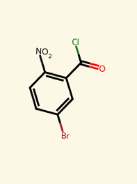 O=C(Cl)c1cc(Br)ccc1[N+](=O)[O-]